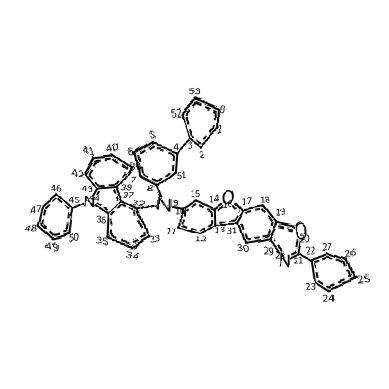 c1ccc(-c2cccc(N(c3ccc4c(c3)oc3cc5oc(-c6ccccc6)nc5cc34)c3cccc4c3c3ccccc3n4-c3ccccc3)c2)cc1